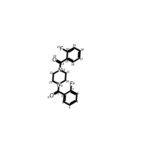 O=C(c1ccccc1F)N1CCN(C(=O)c2ccccc2F)CC1